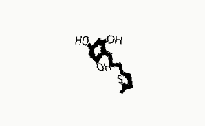 Cc1ccc(CCCc2c(O)cc(O)cc2O)s1